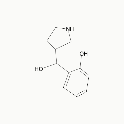 Oc1ccccc1C(O)C1CCNC1